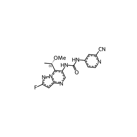 CO[C@@H](C)c1c(NC(=O)Nc2ccnc(C#N)c2)cnc2cc(F)nn12